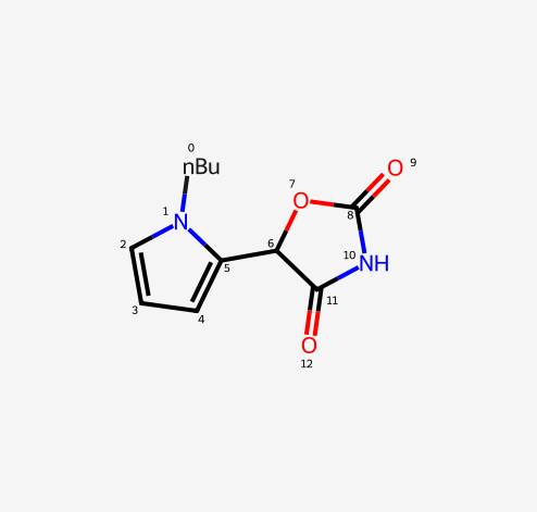 CCCCn1cccc1C1OC(=O)NC1=O